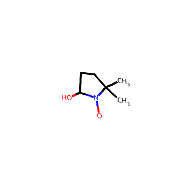 CC1(C)CCC(O)N1[O]